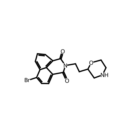 O=C1c2cccc3c(Br)ccc(c23)C(=O)N1CCC1CNCCO1